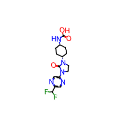 O=C(O)N[C@H]1CC[C@H](N2CCN(c3cnc(C(F)F)cn3)C2=O)CC1